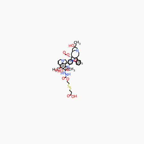 CC[C@]1(O)CC2CN(CCc3c([nH]c4ccccc34)[C@@](COC=O)(c3cc4c(cc3OC)N(C)[C@@H]3C45CCN4CC=C[C@](CC)([C@H]45)[C@@H](O)[C@]3(O)C(=O)NNC(=O)OCCSSCCC(=O)O)C2)C1